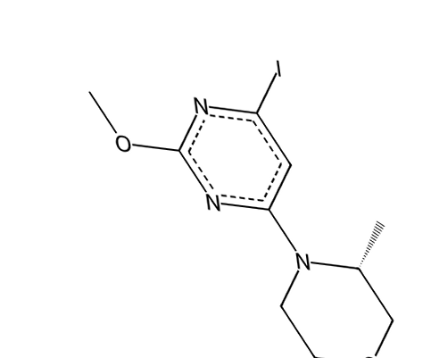 COc1nc(I)cc(N2CCOC[C@H]2C)n1